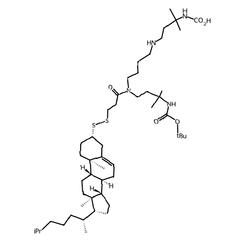 CC(C)CCC[C@@H](C)[C@H]1CC[C@H]2[C@@H]3CC=C4C[C@@H](SSCCC(=O)N(CCCCNCCC(C)(C)NC(=O)O)CCC(C)(C)NC(=O)OC(C)(C)C)CC[C@]4(C)[C@H]3CC[C@]12C